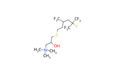 C[N+](C)(C)CC(O)CSCCC(CC(F)(C(F)(F)F)C(F)(F)F)C(F)(F)F